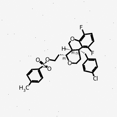 Cc1ccc(S(=O)(=O)OCC[C@H]2OCC[C@]3(Cc4ccc(Cl)cc4)c4c(F)ccc(F)c4OC[C@H]23)cc1